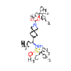 CC(N[S@+]([O-])C(C)(C)C)C1CC2(C1)CN(C(=O)OC(C)(C)C)C2